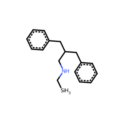 [SiH3]CNCC(Cc1ccccc1)Cc1ccccc1